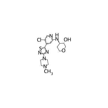 CN1CCN(c2nsc(-c3cc(N[C@@H]4CCOC[C@H]4O)ncc3Cl)n2)CC1